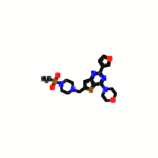 CS(=O)(=O)N1CCN(Cc2cc3nc(-c4ccoc4)nc(N4CCOCC4)c3s2)CC1